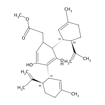 C=C(C)[C@@H]1CCC(C)=C[C@H]1C1=C(O)C([C@@H]2C=C(C)CC[C@H]2C(=C)C)C(CC(=O)OC)C=C1O